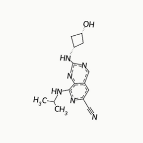 CC(C)Nc1nc(C#N)cc2cnc(N[C@H]3C[C@@H](O)C3)nc12